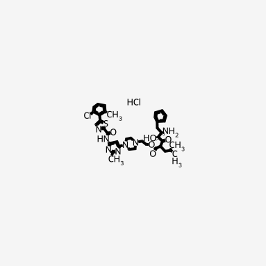 Cc1nc(NC(=O)c2ncc(-c3c(C)cccc3Cl)s2)cc(N2CCN(CCOC(=O)C(CC(C)C)C(=O)[C@@H](O)[C@H](N)Cc3ccccc3)CC2)n1.Cl